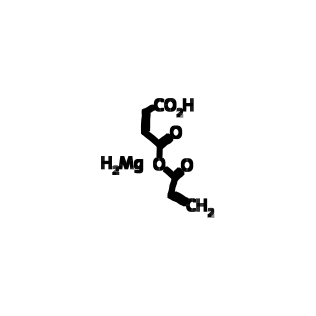 C=CC(=O)OC(=O)/C=C\C(=O)O.[MgH2]